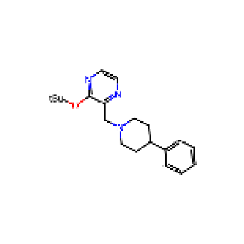 CC(C)(C)Oc1nccnc1CN1CCC(c2[c]cccc2)CC1